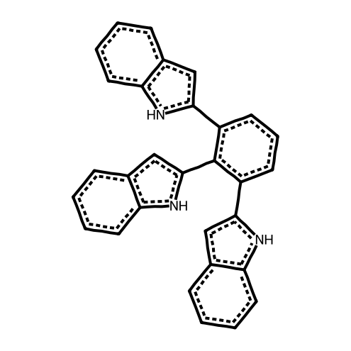 c1cc(-c2cc3ccccc3[nH]2)c(-c2cc3ccccc3[nH]2)c(-c2cc3ccccc3[nH]2)c1